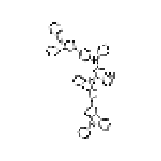 c1ccc(-n2c3ccccc3c3cc(-c4ccc5c(c4)c4ccccc4n5-c4cc(-n5c6ccccc6c6cc(-c7ccc8c(c7)c7ccccc7n8-c7ccccc7)ccc65)c5cccnc5c4)ccc32)cc1